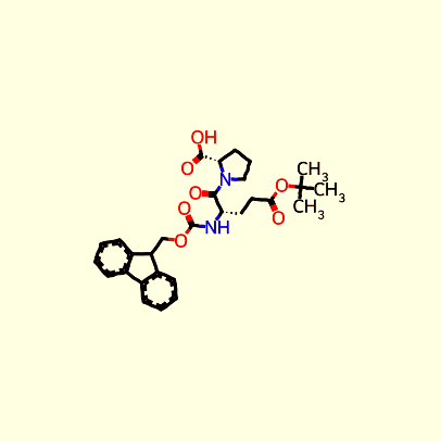 CC(C)(C)OC(=O)CC[C@H](NC(=O)OCC1c2ccccc2-c2ccccc21)C(=O)N1CCC[C@H]1C(=O)O